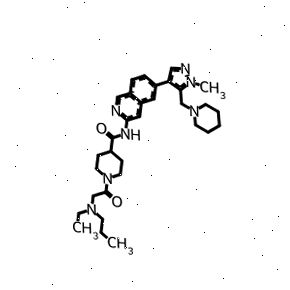 CCCN(CC)CC(=O)N1CCC(C(=O)Nc2cc3cc(-c4cnn(C)c4CN4CCCCC4)ccc3cn2)CC1